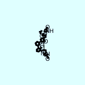 COc1nc(-c2cccc(-c3cccc(C4=NN5CC(C=O)N=C5C=C4)c3Cl)c2Cl)ccc1CN(C[C@@H]1CCC(=O)N1)C(=O)OC(C)(C)C